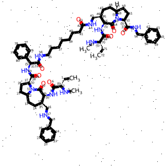 CC[C@H](NC)C(=O)N[C@@H]1C(=O)N2C(CC[C@@H]1CNCc1ccccc1)CC[C@H]2C(=O)N[C@H](C(=O)NCCCCCCCC(=O)NC[C@H]1CC[C@H]2CC[C@@H](C(=O)NCc3ccccc3)N2C(=O)[C@H]1NC(=O)[C@H](CC)NC)c1ccccc1